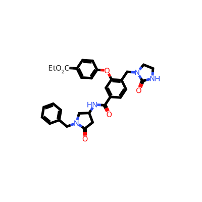 CCOC(=O)c1ccc(Oc2cc(C(=O)NC3CC(=O)N(Cc4ccccc4)C3)ccc2CN2CCNC2=O)cc1